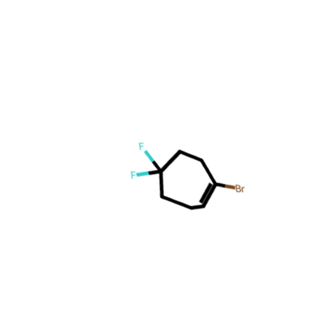 FC1(F)CCC=C(Br)CC1